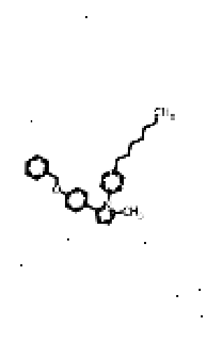 CCCCCCCc1ccc(-n2c(C)ccc2-c2ccc(OCc3ccccc3)cc2)cc1